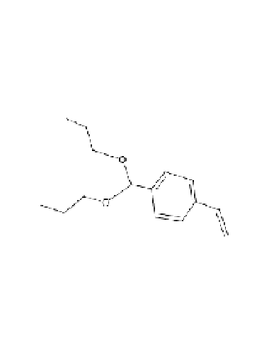 C=Cc1ccc(C(OCCC)OCCC)cc1